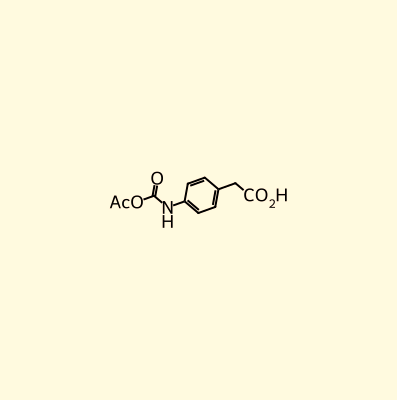 CC(=O)OC(=O)Nc1ccc(CC(=O)O)cc1